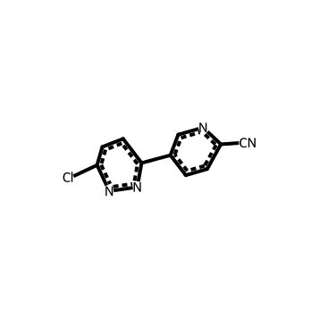 N#Cc1ccc(-c2ccc(Cl)nn2)cn1